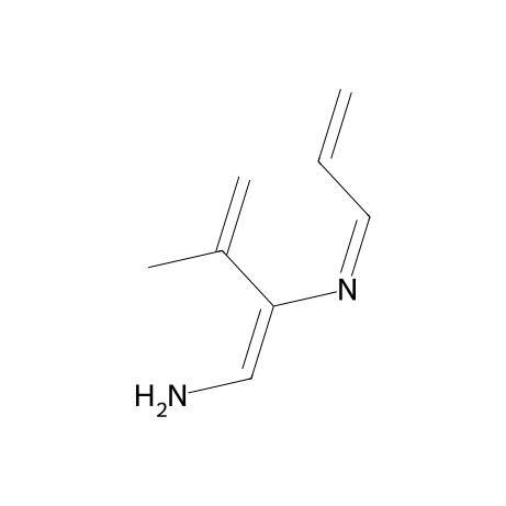 C=C/C=N\C(=C\N)C(=C)C